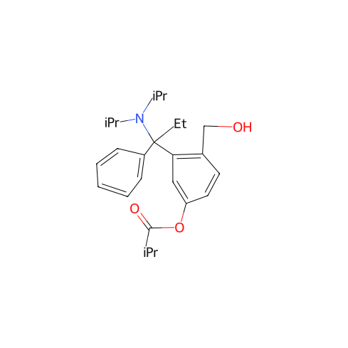 CCC(c1ccccc1)(c1cc(OC(=O)C(C)C)ccc1CO)N(C(C)C)C(C)C